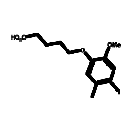 COc1cc(I)c(C)cc1OCCCCC(=O)O